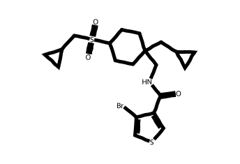 O=C(NCC1(CC2CC2)CCC(S(=O)(=O)CC2CC2)CC1)c1cscc1Br